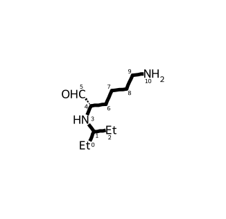 CCC(CC)N[C@H](C=O)CCCCN